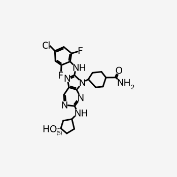 NC(=O)C1CCC(n2c(Nc3c(F)cc(Cl)cc3F)nc3cnc(NC4CC[C@H](O)C4)nc32)CC1